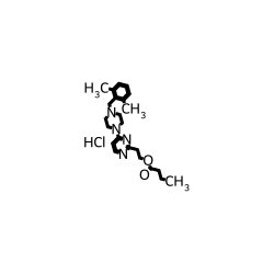 CCCC(=O)OCCc1nccc(N2CCN(Cc3c(C)cccc3C)CC2)n1.Cl